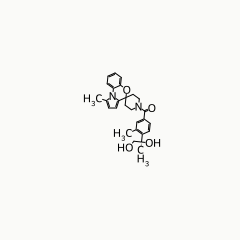 Cc1cc(C(=O)N2CCC3(CC2)Oc2ccccc2-n2c(C)ccc23)ccc1[C@@](C)(O)CO